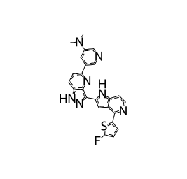 CN(C)c1cncc(-c2ccc3[nH]nc(-c4cc5c(-c6ccc(F)s6)nccc5[nH]4)c3n2)c1